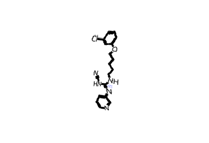 N#CN/C(=N\c1cccnc1)NCCCCCOc1cccc(Cl)c1